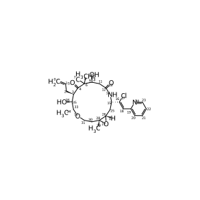 C=CC[C@H]1C(=O)C(C)(C)[C@@H](O)CC(=O)N[C@H](C(Cl)=Cc2ccccn2)C[C@@H]2O[C@]2(C)CCO[C@H](C)[C@H]1O